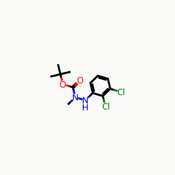 CN(Nc1cccc(Cl)c1Cl)C(=O)OC(C)(C)C